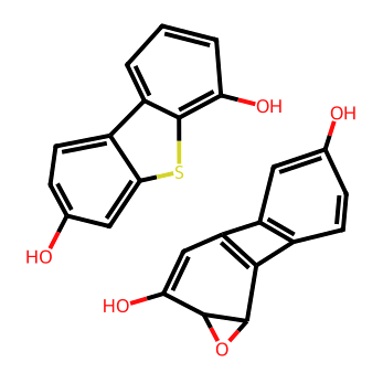 OC1=CC2=C(c3ccc(O)cc32)C2OC12.Oc1ccc2c(c1)sc1c(O)cccc12